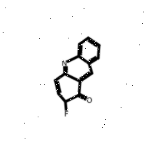 O=C1c2cc3ccccc3nc2C=CC1F